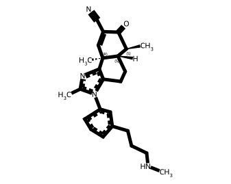 CNCCCc1cccc(-n2c(C)nc3c2CC[C@H]2[C@H](C)C(=O)C(C#N)=C[C@]32C)c1